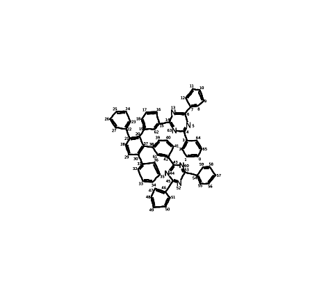 c1ccc(-c2nc(-c3ccccc3)nc(-c3cccc(-c4c(-c5ccccc5)ccc(-c5ccccc5)c4-c4cccc(-c5nc(-c6ccccc6)nc(-c6ccccc6)n5)c4)c3)n2)cc1